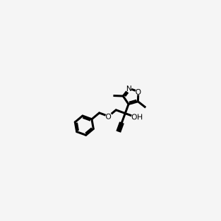 C#CC(O)(COCc1ccccc1)c1c(C)noc1C